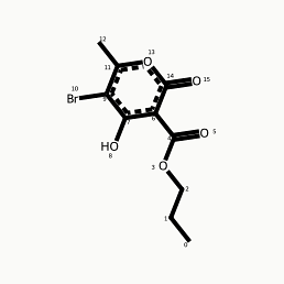 CCCOC(=O)c1c(O)c(Br)c(C)oc1=O